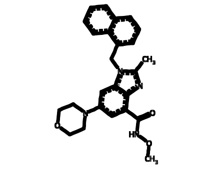 CONC(=O)c1cc(N2CCOCC2)cc2c1nc(C)n2Cc1cccc2ccccc12